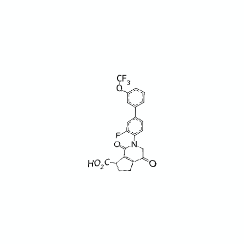 O=C1CN(c2ccc(-c3cccc(OC(F)(F)F)c3)cc2F)C(=O)C2=C1CCC2C(=O)O